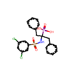 O=P(O)(O)C(Cc1ccccc1)(Cc1ccccc1)NS(=O)(=O)c1cc(Cl)cc(Cl)c1